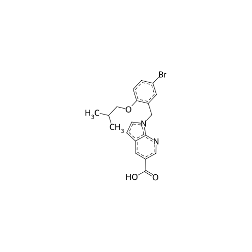 CC(C)COc1ccc(Br)cc1Cn1ccc2cc(C(=O)O)cnc21